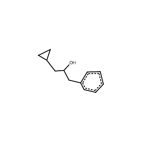 OC(Cc1ccccc1)CC1CC1